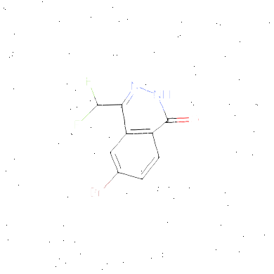 O=c1[nH]nc(C(F)F)c2cc(Br)ccc12